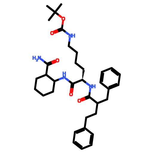 CC(C)(C)OC(=O)NCCCC[C@H](NC(=O)C(CCc1ccccc1)Cc1ccccc1)C(=O)NC1CCCCC1C(N)=O